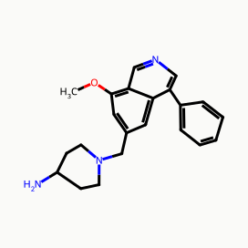 COc1cc(CN2CCC(N)CC2)cc2c(-c3ccccc3)cncc12